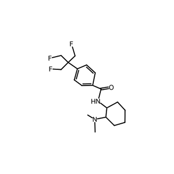 CN(C)C1CCCCC1NC(=O)c1ccc(C(CF)(CF)CF)cc1